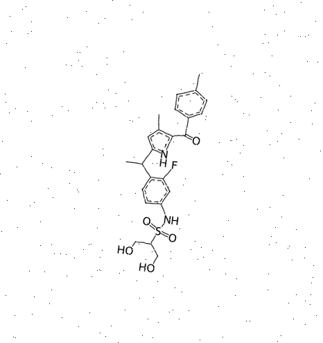 Cc1ccc(C(=O)c2[nH]c(C(C)c3ccc(NS(=O)(=O)C(CO)CO)cc3F)cc2C)cc1